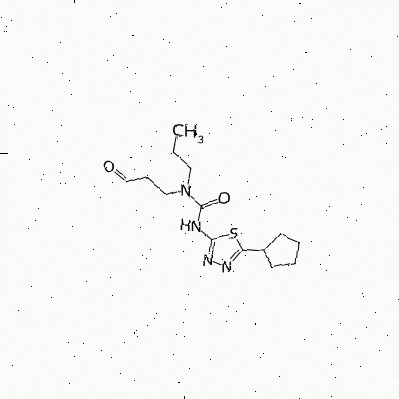 CCCN(CCC=O)C(=O)Nc1nnc(C2CCCC2)s1